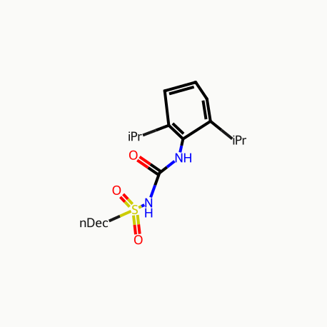 CCCCCCCCCCS(=O)(=O)NC(=O)Nc1c(C(C)C)cccc1C(C)C